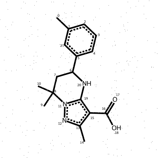 Cc1cccc(C2CC(C)(C)n3nc(C)c(C(=O)O)c3N2)c1